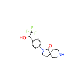 O=C1N(c2ccc(C(O)C(F)(F)F)cc2)CCC12CCNCC2